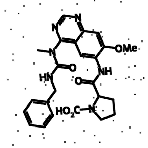 COc1cc2ncnc(N(C)C(=O)NCc3ccccc3)c2cc1NC(=O)C1CCCN1C(=O)O